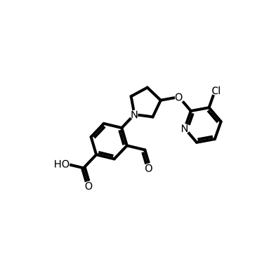 O=Cc1cc(C(=O)O)ccc1N1CCC(Oc2ncccc2Cl)C1